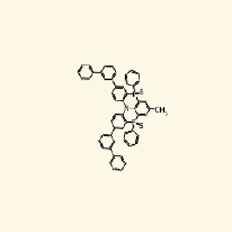 Cc1cc2c3c(c1)P(=S)(c1ccccc1)c1cc(-c4cccc(-c5ccccc5)c4)ccc1N3c1ccc(-c3cccc(-c4ccccc4)c3)cc1P2(=S)c1ccccc1